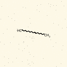 [CH]=CCCCCCCCC=CCCCCCC